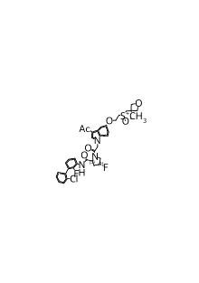 CC(=O)c1cn(CC(=O)N2C[C@H](F)C[C@H]2C(=O)Nc2cccc(-c3ccccc3Cl)c2F)c2ccc(OCC[S+]([O-])CC3(C)COC3)cc12